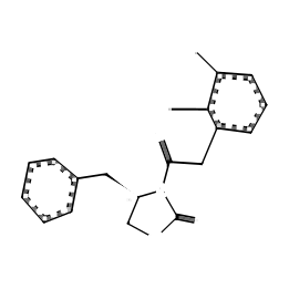 O=C(Cc1cccc(Cl)c1Cl)N1C(=O)OC[C@H]1Cc1ccccc1